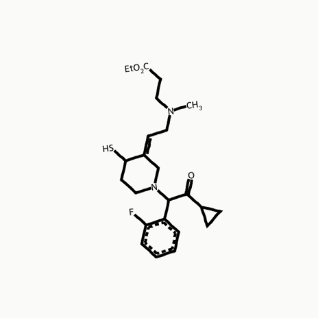 CCOC(=O)CCN(C)C/C=C1\CN(C(C(=O)C2CC2)c2ccccc2F)CCC1S